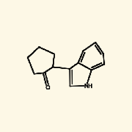 O=C1CCCCC1c1c[nH]c2ccccc12